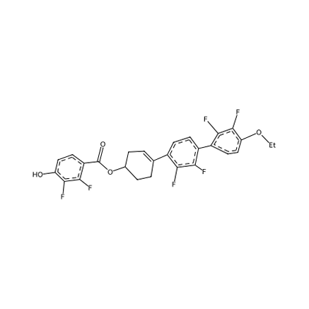 CCOc1ccc(-c2ccc(C3=CCC(OC(=O)c4ccc(O)c(F)c4F)CC3)c(F)c2F)c(F)c1F